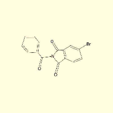 O=C(c1ccccc1)N1C(=O)c2ccc(Br)cc2C1=O